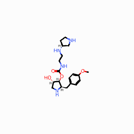 COc1ccc(C[C@H]2NC[C@H](O)[C@H]2OC(=O)NCCN[C@@H]2CCNC2)cc1